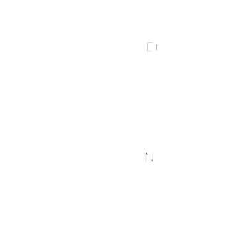 C=Cc1cn(C)cc1C(=C)CC